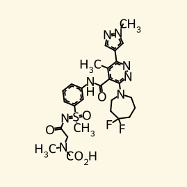 Cc1c(-c2cnn(C)c2)nnc(N2CCCC(F)(F)CC2)c1C(=O)Nc1cccc(S(C)(=O)=NC(=O)CN(C)C(=O)O)c1